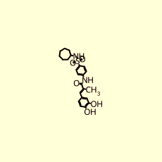 C/C(=C\c1ccc(O)c(O)c1)C(=O)Nc1ccc(S(=O)(=O)NC2CCCCCC2)cc1